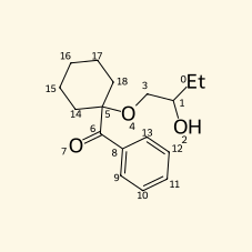 CCC(O)COC1(C(=O)c2ccccc2)CCCCC1